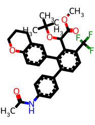 COC(=O)C(OC(C)(C)C)c1c(C(F)(F)F)ccc(-c2ccc(NC(C)=O)cc2)c1-c1ccc2c(c1)CCCO2